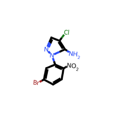 Nc1c(Cl)cnn1-c1cc(Br)ccc1[N+](=O)[O-]